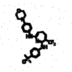 CP(C)(=O)c1ccc(NC2=NC(Nc3ccc(N4CCOCC4)cc3)=CCC=C2C(F)(F)F)cc1